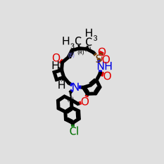 C[C@@H]1/C=C/C(=O)[C@@H]2CC[C@H]2CN2C[C@@]3(CCCc4cc(Cl)ccc43)COc3ccc(cc32)C(=O)NS(=O)(=O)C[C@@H]1C